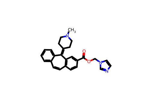 CN1CCC(=C2c3ccccc3C=Cc3ccc(C(=O)OCn4ccnc4)cc32)CC1